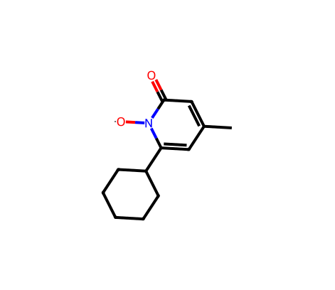 Cc1cc(C2CCCCC2)n([O])c(=O)c1